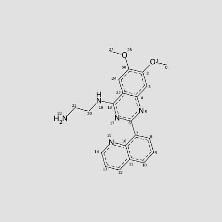 COc1cc2nc(-c3cccc4cccnc34)nc(NCCN)c2cc1OC